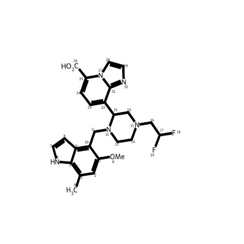 COc1cc(C)c2[nH]ccc2c1CN1CCN(CC(F)F)CC1c1ccc(C(=O)O)n2ccnc12